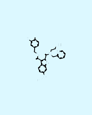 CC(C)Oc1ccc2c(C(=O)NCc3ccc(F)c(F)c3)c(C(=O)N(CCO)Cc3ccccn3)[nH]c2c1